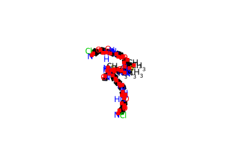 Cc1sc2c(c1C)C(c1ccc(OC3CC4(CCN(c5ccc(C(=O)N[C@H]6CC[C@H](Oc7ccc(C#N)c(Cl)c7)CC6)nn5)CC4)C3)cc1)=N[C@@](C)(C(C)c1ncc(Cc3sc4c(c3C)C(c3ccc(C5CCC(N6CCCN(c7ccc(C(=O)N[C@H]8CC[C@H](Oc9ccc(C#N)c(Cl)c9)CC8)nn7)CC6)CC5)cc3)=N[C@H](Cc3ncco3)c3nnc(C)n3-4)o1)c1nnc(C)n1-2